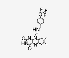 Cc1cc2nc3c(=O)[nH]c(=O)nc-3n(CCNCc3ccc(OC(F)(F)F)cc3)c2cc1C